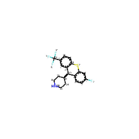 Fc1ccc2c(c1)Sc1ccc(C(F)(F)F)cc1C2=C1CCNCC1